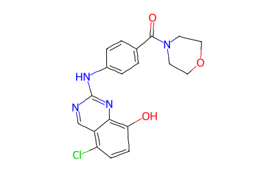 O=C(c1ccc(Nc2ncc3c(Cl)ccc(O)c3n2)cc1)N1CCOCC1